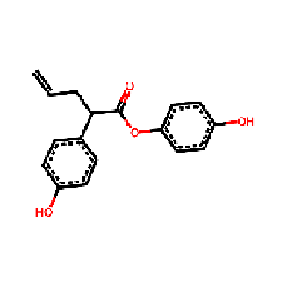 C=CCC(C(=O)Oc1ccc(O)cc1)c1ccc(O)cc1